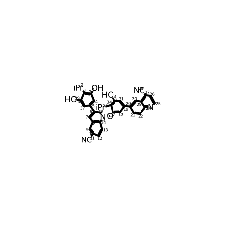 CC(C)c1c(O)cc(-c2cc3cc(C#N)ccc3[n+](Oc3cc(-c4ccc5nccc(C#N)c5c4)cc(O)c3C(C)C)c2)cc1O